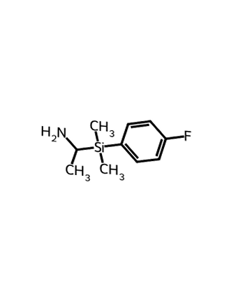 CC(N)[Si](C)(C)c1ccc(F)cc1